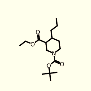 CCCC1CCN(C(=O)OC(C)(C)C)CC1C(=O)OCC